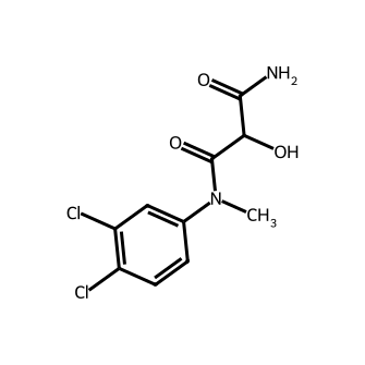 CN(C(=O)C(O)C(N)=O)c1ccc(Cl)c(Cl)c1